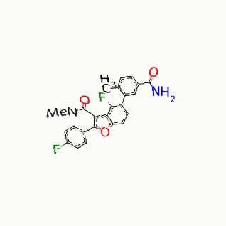 CNC(=O)c1c(-c2ccc(F)cc2)oc2ccc(-c3cc(C(N)=O)ccc3C)c(F)c12